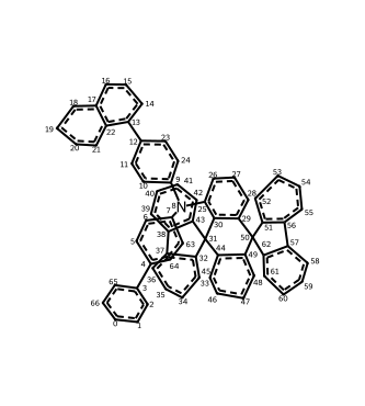 c1ccc(-c2ccc(N(c3ccc(-c4cccc5ccccc45)cc3)c3cccc4c3C3(c5ccccc5-c5ccccc53)c3ccccc3C43c4ccccc4-c4ccccc43)cc2)cc1